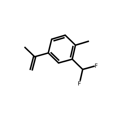 C=C(C)c1ccc(C)c(C(F)F)c1